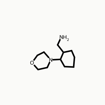 NCC1CCCCC1N1CCOCC1